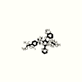 [2H]OCC(C)(C)c1ccc(S(=O)(=O)N([2H])c2nc(-c3ncccn3)nc(OC([2H])([2H])C([2H])([2H])O[2H])c2Oc2ccccc2OC)cc1